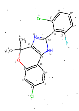 CC1(C)Oc2cc(Cl)ccc2-c2[nH]c(-c3c(F)cccc3Cl)nc21